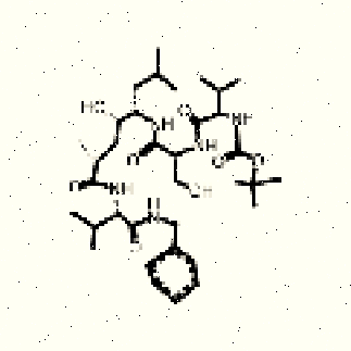 CC(C)C[C@H](NC(=O)[C@H](CO)NC(=O)[C@@H](NC(=O)OC(C)(C)C)C(C)C)[C@@H](O)C[C@@H](C)C(=O)N[C@H](C(=O)NCc1ccccc1)C(C)C